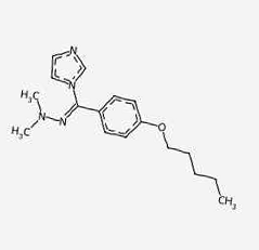 CCCCCOc1ccc(C(=NN(C)C)n2ccnc2)cc1